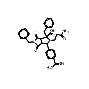 N=C(N)c1ccc(C2C3C(=O)N(Cc4ccccc4)C(=O)C3C(Cc3ccccc3)(C(=O)O)N2CCC(N)=O)cc1